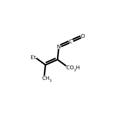 CCC(C)=C(N=C=O)C(=O)O